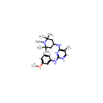 CN1C(C)(C)CC(Nc2nc(Nc3cccc(OC(F)(F)F)c3)ncc2C(F)(F)F)CC1(C)C